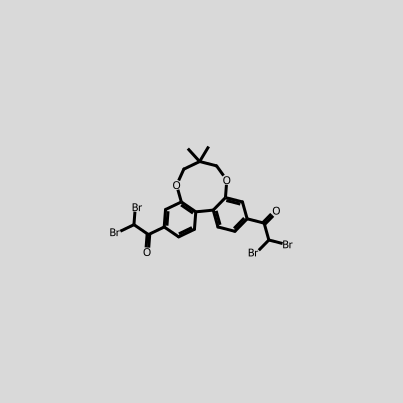 CC1(C)COc2cc(C(=O)C(Br)Br)ccc2-c2ccc(C(=O)C(Br)Br)cc2OC1